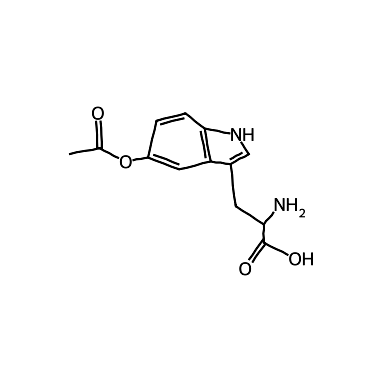 CC(=O)Oc1ccc2[nH]cc(CC(N)C(=O)O)c2c1